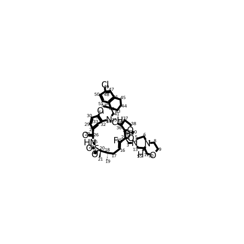 CO[C@]1(CN2CCN3CCOC[C@@H]3C2)/C(F)=C/C[C@H](C)[C@@H](C)S(=O)(=O)NC(=O)c2ccc3c(c2)N(C[C@@H]2CCO[C@H]21)C[C@@]1(CCCc2cc(Cl)ccc21)CO3